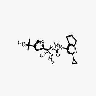 CC(C)(O)c1csc([S@@](N)(=O)=NC(=O)Nc2cc(C3CC3)nc3c2CCC3)c1